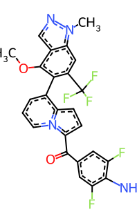 COc1c(-c2cccn3c(C(=O)c4cc(F)c(N)c(F)c4)ccc23)c(C(F)(F)F)cc2c1cnn2C